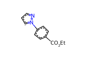 CCOC(=O)c1ccc(-n2[c]ccn2)cc1